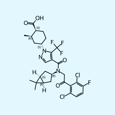 C[C@@H]1C[C@@H](n2ncc(C(=O)N(CC(=O)c3c(Cl)ccc(F)c3Cl)[C@H]3C[C@@H]4[C@H](C3)C4(C)C)c2C(F)(F)F)CC[C@@H]1C(=O)O